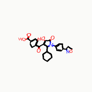 O=C(O)c1ccc(C(=O)C2=C(O)C(=O)N(c3ccc(-c4ccon4)cc3)C2C2CCCCC2)cc1